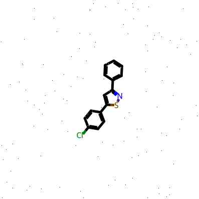 Clc1ccc(-c2cc(-c3ccccc3)ns2)cc1